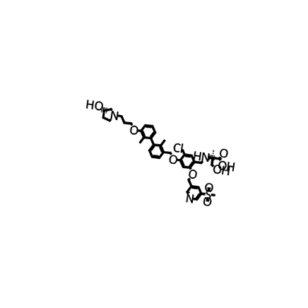 Cc1c(COc2cc(OCc3cncc(S(C)(=O)=O)c3)c(CN[C@](C)(CO)C(=O)O)cc2Cl)cccc1-c1cccc(OCCCN2CC[C@@H](O)C2)c1C